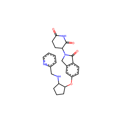 O=C1CCC(N2Cc3cc(OC4CCCC4NCc4ccccn4)ccc3C2=O)C(=O)N1